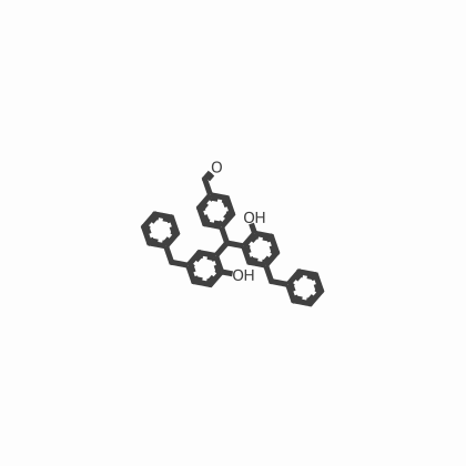 O=Cc1ccc(C(c2cc(Cc3ccccc3)ccc2O)c2cc(Cc3ccccc3)ccc2O)cc1